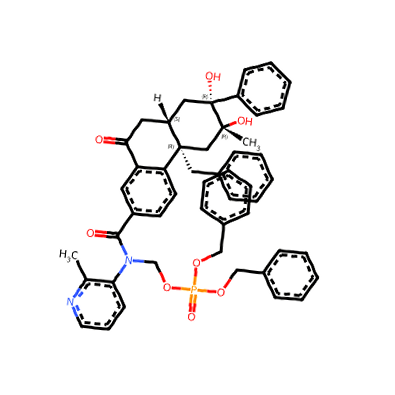 Cc1ncccc1N(COP(=O)(OCc1ccccc1)OCc1ccccc1)C(=O)c1ccc2c(c1)C(=O)C[C@@H]1C[C@@](O)(c3ccccc3)[C@](C)(O)C[C@@]21Cc1ccccc1